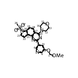 COCOc1cncc(-c2nc(N3CCOCC3)c3ccc4c(ccn4S(C)(=O)=O)c3n2)c1